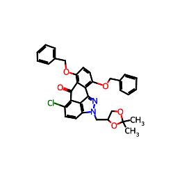 CC1(C)OCC(Cn2nc3c4c(c(Cl)ccc42)C(=O)c2c(OCc4ccccc4)ccc(OCc4ccccc4)c2-3)O1